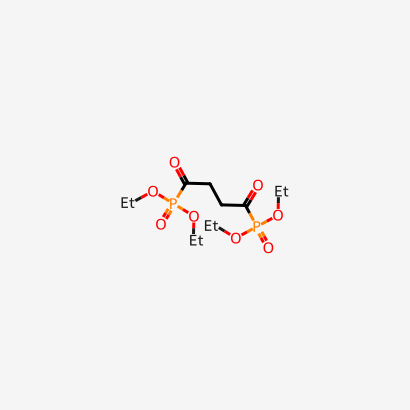 CCOP(=O)(OCC)C(=O)CCC(=O)P(=O)(OCC)OCC